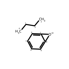 CCCC.c1ccc2c(c1)O2